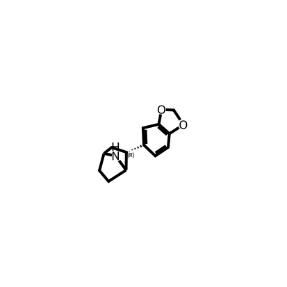 c1cc2c(cc1[C@H]1CC3CCC1N3)OCO2